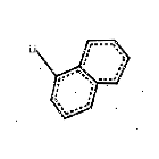 [Li][c]1cccc2ccccc12